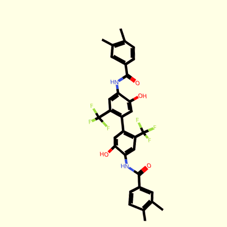 Cc1ccc(C(=O)Nc2cc(C(F)(F)F)c(-c3cc(O)c(NC(=O)c4ccc(C)c(C)c4)cc3C(F)(F)F)cc2O)cc1C